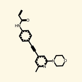 C=CC(=O)Nc1ccc(C#Cc2cc(C)nc(N3CCOCC3)c2)cc1